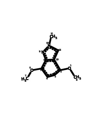 COc1ccc(OC)c2nn(C)cc12